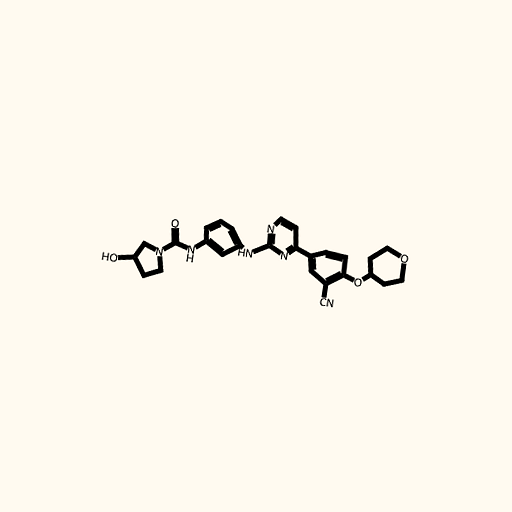 N#Cc1cc(-c2ccnc(Nc3cccc(NC(=O)N4CCC(O)C4)c3)n2)ccc1OC1CCOCC1